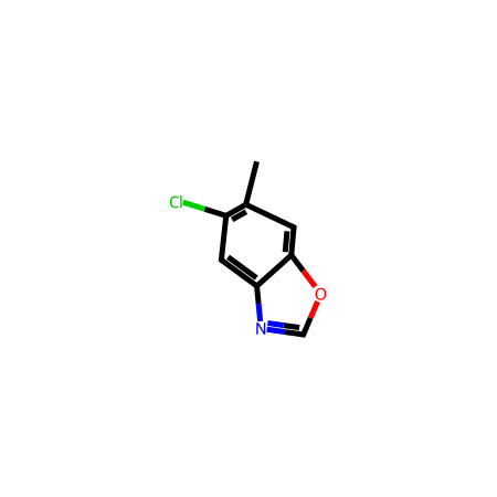 Cc1cc2ocnc2cc1Cl